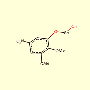 COc1cc([N+](=O)[O-])cc(OBO)c1OC